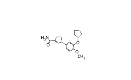 COc1ccc(C2C=C(C(N)=O)CC2)cc1OC1CCCC1